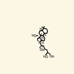 CC1(C)CCC[C@]2(C)[C@H]3CC[C@@H]4[C@@H]([C@H](CO)CCCC(CO)CO)CC[C@@]4(CO)[C@]3(C)CC[C@@H]12